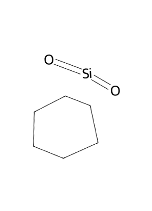 C1CCCCC1.O=[Si]=O